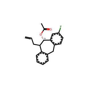 C=CCC1c2ccccc2Cc2ccc(F)cc2[C@H]1OC(C)=O